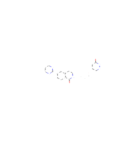 CC(CCCn1ccc2cc(-c3ncc(C(F)(F)F)cn3)c(F)cc2c1=O)Oc1cn[nH]c(=O)c1C(F)(F)F